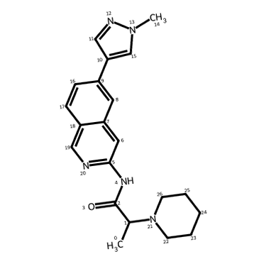 CC(C(=O)Nc1cc2cc(-c3cnn(C)c3)ccc2cn1)N1CCCCC1